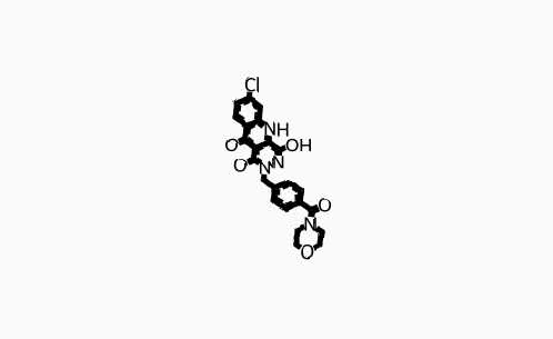 O=C(c1ccc(Cn2nc(O)c3[nH]c4cc(Cl)ccc4c(=O)c3c2=O)cc1)N1CCOCC1